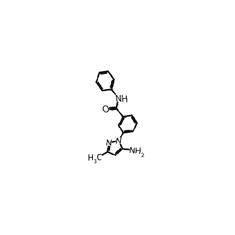 Cc1cc(N)n(-c2cccc(C(=O)Nc3ccccc3)c2)n1